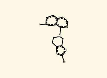 Fc1ccc2ncnc(N3CCc4nc(Br)sc4C3)c2c1